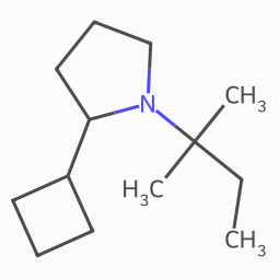 CCC(C)(C)N1CCCC1C1CCC1